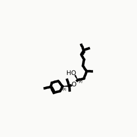 CC(C)=CCCC(C)C[C@H](O)OC(C)(C)[C@H]1CC=C(C)CC1